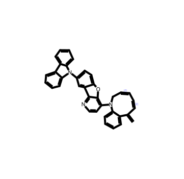 C=C1/C=C\C=C/CN(c2ccnc3c2oc2ccc(-n4c5ccccc5c5ccccc54)cc23)c2ccccc21